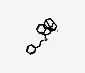 CC1C2CC3CC1CC(C2)C3(CC(=O)NCCc1ccccc1)c1ccccc1